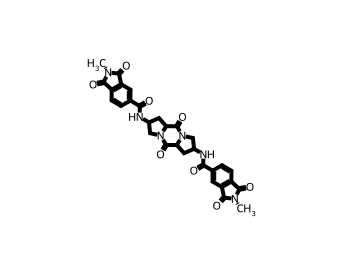 CN1C(=O)c2ccc(C(=O)NC3CC4C(=O)N5CC(NC(=O)c6ccc7c(c6)C(=O)N(C)C7=O)CC5C(=O)N4C3)cc2C1=O